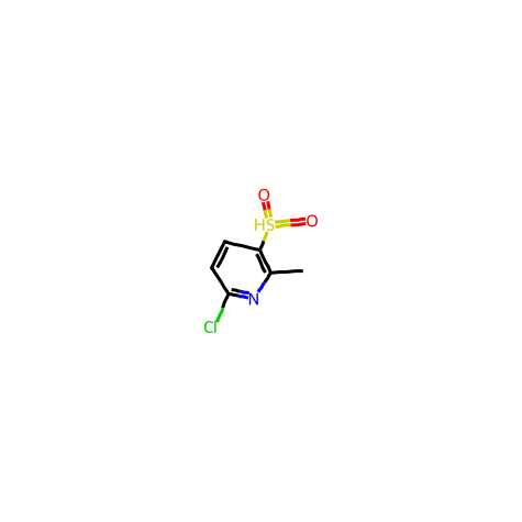 Cc1nc(Cl)ccc1[SH](=O)=O